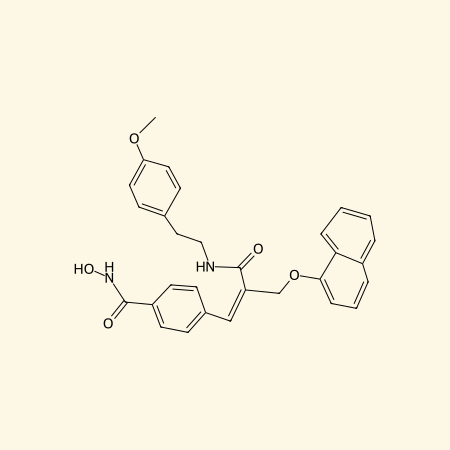 COc1ccc(CCNC(=O)C(=Cc2ccc(C(=O)NO)cc2)COc2cccc3ccccc23)cc1